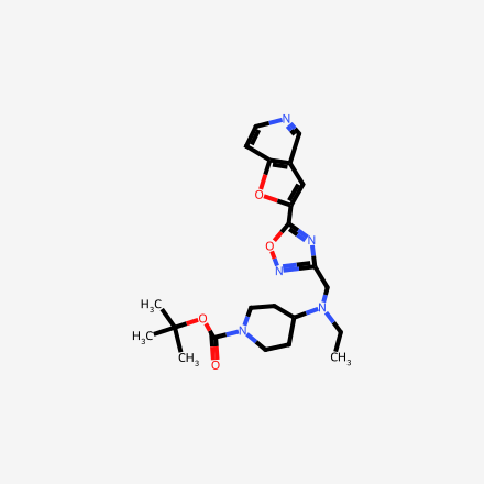 CCN(Cc1noc(-c2cc3cnccc3o2)n1)C1CCN(C(=O)OC(C)(C)C)CC1